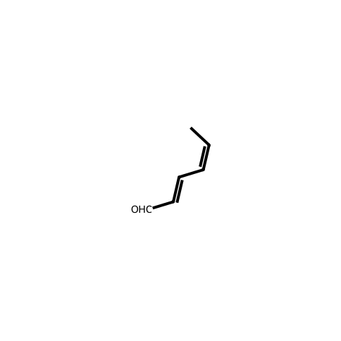 C/C=C\C=C\C=O